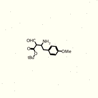 COc1ccc(CC(N)C(C=O)C(=O)OC(C)(C)C)cc1